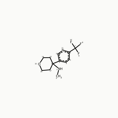 CNC1(c2ccc(C(F)(F)F)nc2)CCOCC1